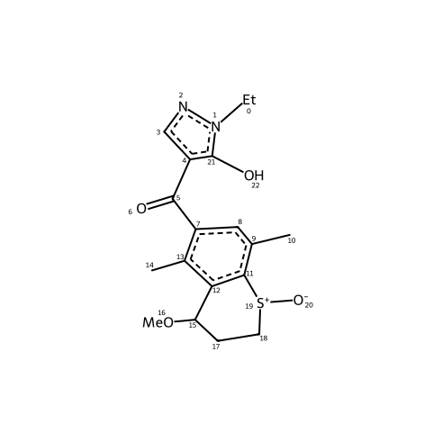 CCn1ncc(C(=O)c2cc(C)c3c(c2C)C(OC)CC[S+]3[O-])c1O